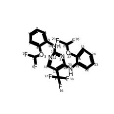 FC(F)Oc1ccccc1Nc1ncc(C(F)(F)F)c(Nc2ccccc2OC(F)F)n1